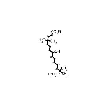 CCOC(=O)CCC(C)(C)CCCC(O)CCCCCC(C)(C)C(=O)OCC